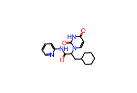 O=C(Nc1ccccn1)C(CC1CCCCC1)n1ccc(=O)[nH]c1=O